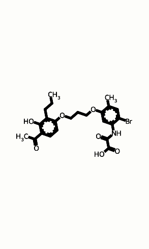 CCCc1c(OCCCOc2cc(NC(=O)C(=O)O)c(Br)cc2C)ccc(C(C)=O)c1O